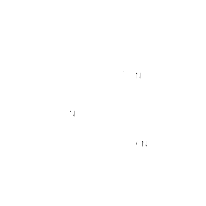 CN(C)[C@H]1C[C@H]1c1cn(C)c2ccc(C#N)cc12